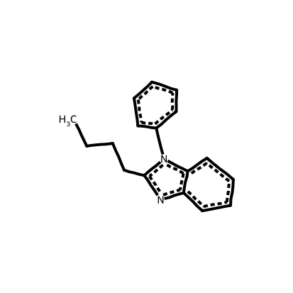 CCCCc1nc2ccccc2n1-c1ccccc1